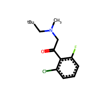 CN(CC(=O)c1c(F)cccc1Cl)CC(C)(C)C